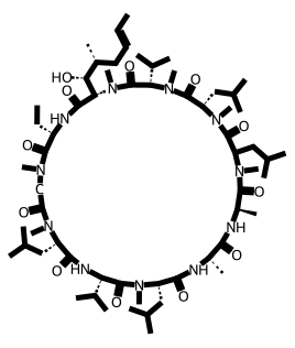 C/C=C/C[C@@H](C)[C@@H](O)[C@H]1C(=O)N[C@@H](CC)C(=O)N(C)CC(=O)N(C)[C@@H](CC(C)C)C(=O)N[C@@H](C(C)C)C(=O)N(C)[C@@H](CC(C)C)C(=O)N[C@@H](C)C(=O)N[C@H](C)C(=O)N(C)C(CC(C)C)C(=O)N(C)[C@@H](CC(C)C)C(=O)N(C)[C@@H](C(C)C)C(=O)N1C